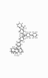 CC1(C)c2ccccc2-c2ccc(N(c3ccc(-c4ccccc4)cc3)c3ccc(-c4ccc5c(c4)c4cccc6c4n5-c4cccnc4C6(C)C)cc3)cc21